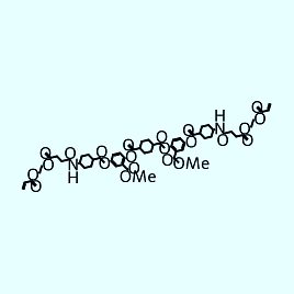 C=CC(=O)OCCOC(=O)CCC(=O)NC1CCC(C(=O)Oc2ccc(OC(=O)C3CCC(C(=O)Oc4ccc(OC(=O)C5CCC(NC(=O)CCC(=O)OCCOC(=O)C=C)CC5)cc4C(=O)OC)CC3)c(C(=O)OC)c2)CC1